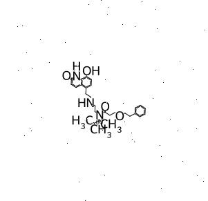 CC(C)[C@@H](C)N(CCNCCc1ccc(O)c2[nH]c(=O)ccc12)C(=O)CCOCCc1ccccc1